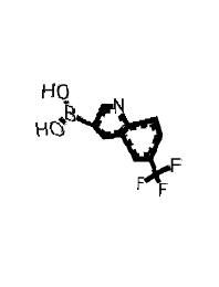 OB(O)c1cnc2ccc(C(F)(F)F)cc2c1